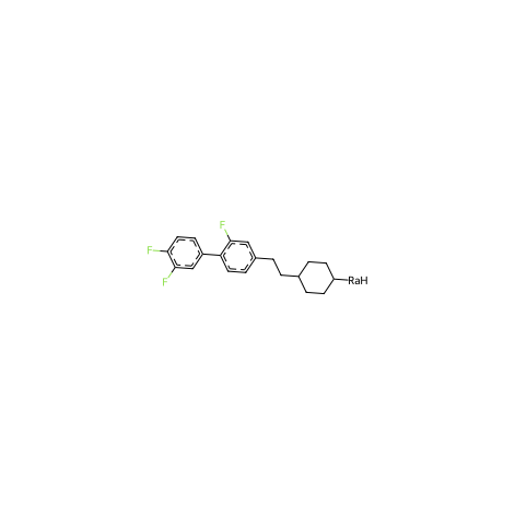 Fc1ccc(-c2ccc(CCC3CC[CH]([RaH])CC3)cc2F)cc1F